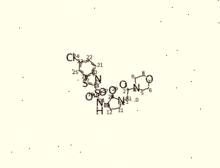 C[C@@H](C(=O)N1CCOCC1)N1CC[C@H](NS(=O)(=O)c2nc3ccc(Cl)cc3s2)C1=O